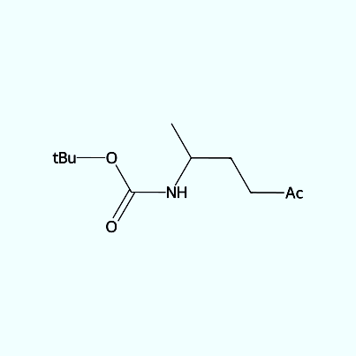 CC(=O)CCC(C)NC(=O)OC(C)(C)C